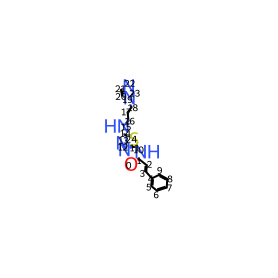 O=C(/C=C/c1ccccc1)Nc1nnc(NCCCn2ccnc2)s1